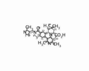 Cc1ncsc1CN1CCc2cc(-c3c(C)nc(C)c(CC(=O)O)c3N3CCC(C)(C)CC3)ccc2C1=O